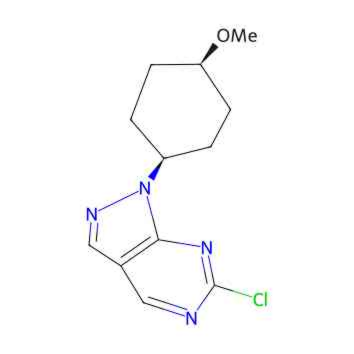 CO[C@H]1CC[C@@H](n2ncc3cnc(Cl)nc32)CC1